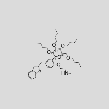 CCCCOC[C@H]1O[C@@H](c2cc(Cc3cc4ccccc4s3)ccc2OCCNC)[C@H](OCCCC)[C@@H](OCCCC)[C@@H]1OCCCC